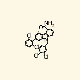 NC(=O)c1cccc2c1c1[c]cc(-c3c(Cl)cccc3Cl)cc1n2Cc1ccc(Cl)c(Cl)c1